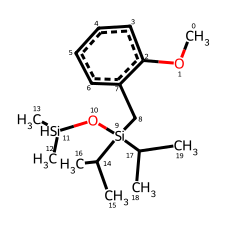 COc1ccccc1C[Si](O[SiH](C)C)(C(C)C)C(C)C